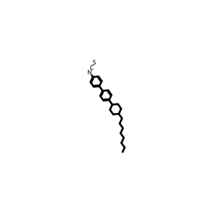 CCCCCCCCC1CCC(c2ccc(-c3ccc(N=C=S)cc3)cc2)CC1